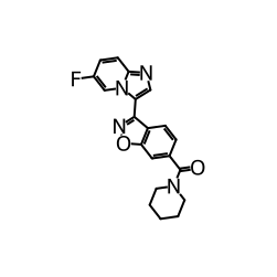 O=C(c1ccc2c(-c3cnc4ccc(F)cn34)noc2c1)N1CCCCC1